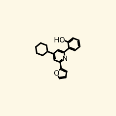 Oc1ccccc1-c1cc(C2CCCCC2)cc(-c2ccco2)n1